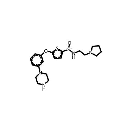 [O-][S+](NCCN1CCCC1)c1ccc(Oc2cccc(N3CCNCC3)c2)s1